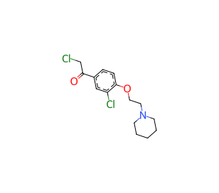 O=C(CCl)c1ccc(OCCN2CCCCC2)c(Cl)c1